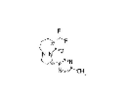 Cc1cnc([C@@H]2CCN3CCC[C@H](C(F)F)C(=O)N23)cn1